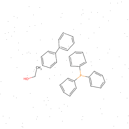 CCO.c1ccc(-c2ccccc2)cc1.c1ccc(P(c2ccccc2)c2ccccc2)cc1